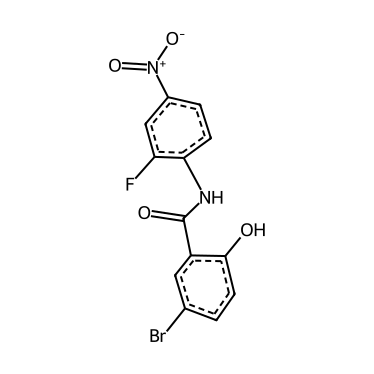 O=C(Nc1ccc([N+](=O)[O-])cc1F)c1cc(Br)ccc1O